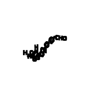 CC1CNc2c(sc3ccc4nc(-c5ccc(N6CCC(CC=O)CC6)cc5)ccc4c23)C(=O)N1